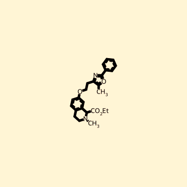 CCOC(=O)C1c2cc(OCCc3nc(-c4ccccc4)oc3C)ccc2CCN1C